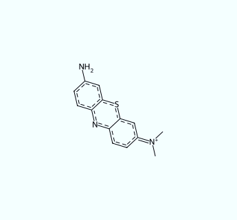 C[N+](C)=c1ccc2nc3ccc(N)cc3sc-2c1